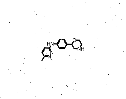 Cc1ccc(Nc2ccc(C3CNCCO3)cc2)nn1